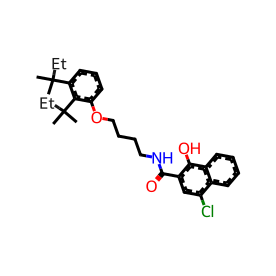 CCC(C)(C)c1cccc(OCCCCNC(=O)c2cc(Cl)c3ccccc3c2O)c1C(C)(C)CC